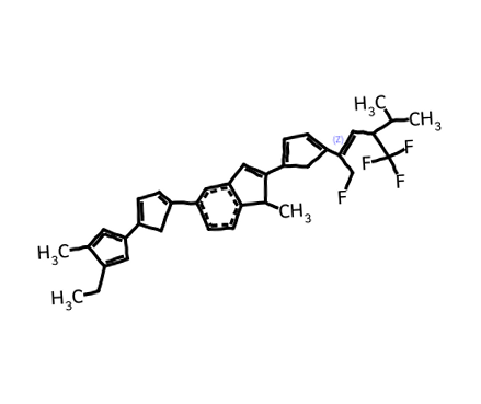 CCC1=CC(C2=CC=C(c3ccc4c(c3)C=C(C3=CC=C(/C(=C/C(C(C)C)C(F)(F)F)CF)C3)C4C)C2)=C=C1C